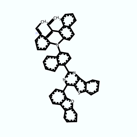 C=CC1=c2c(ccc/c2=C/C)N(c2ccc(-c3nc(-c4cccc5c4oc4ccccc45)c4sc5ccccc5c4n3)c3ccccc23)c2ccc3ccccc3c21